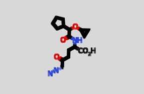 [N-]=[N+]=CC(=O)CCC(NC(=O)C(OC1CC1)C1CCCC1)C(=O)O